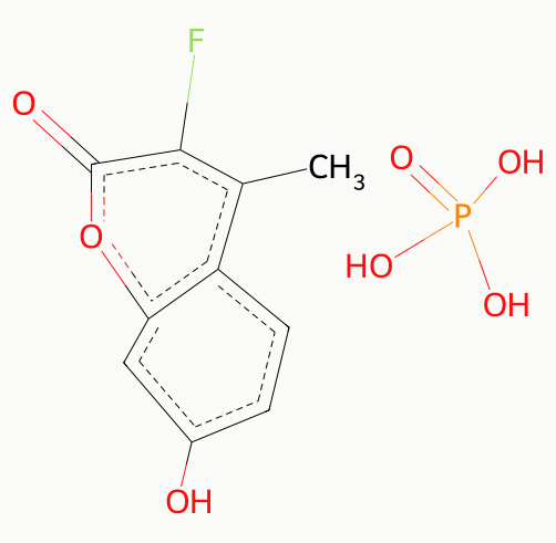 Cc1c(F)c(=O)oc2cc(O)ccc12.O=P(O)(O)O